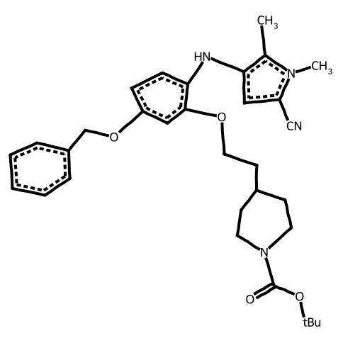 Cc1c(Nc2ccc(OCc3ccccc3)cc2OCCC2CCN(C(=O)OC(C)(C)C)CC2)cc(C#N)n1C